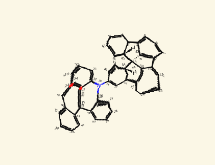 C1=CC2c3cccc4c3[C@@]3(c5c-4cccc5C4C=C(N(c5ccccc5)c5ccccc5-c5cccc6ccccc56)C=C[C@@H]43)[C@@H]2C=C1